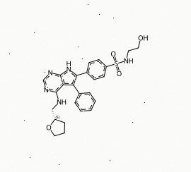 O=S(=O)(NCCO)c1ccc(-c2[nH]c3ncnc(NC[C@@H]4CCCO4)c3c2-c2ccccc2)cc1